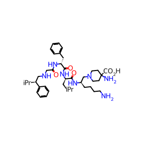 CC(C)C[C@@H](NC(=O)[C@@H](Cc1ccccc1)NC(=O)CNC[C@@H](c1ccccc1)C(C)C)C(=O)N[C@H](CCCCN)CN1CCC(N)(C(=O)O)CC1